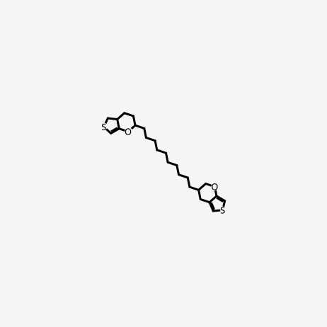 C1=C2OC(CCCCCCCCCCC3COc4cscc4C3)CCC2CS1